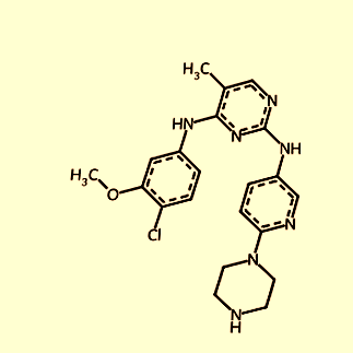 COc1cc(Nc2nc(Nc3ccc(N4CCNCC4)nc3)ncc2C)ccc1Cl